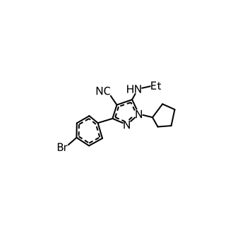 CCNc1c(C#N)c(-c2ccc(Br)cc2)nn1C1CCCC1